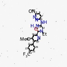 CCN(C[C@@H](N)Nc1ccc(N=O)nn1)C(=O)c1cc(OC)c(-c2ccc(C(F)(F)F)cc2)cn1